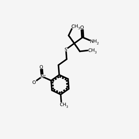 CCC(CC)(SCCc1ccc(C)cc1[N+](=O)[O-])C(N)=O